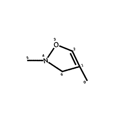 CC1=CON(C)C1